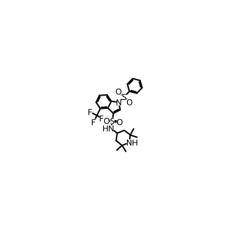 CC1(C)CC(NS(=O)(=O)c2cn(S(=O)(=O)c3ccccc3)c3cccc(C(F)(F)F)c23)CC(C)(C)N1